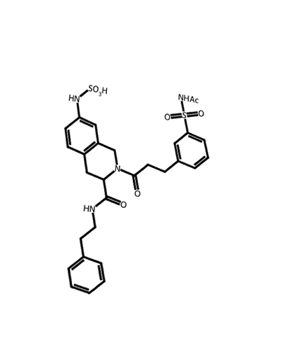 CC(=O)NS(=O)(=O)c1cccc(CCC(=O)N2Cc3cc(NS(=O)(=O)O)ccc3CC2C(=O)NCCc2ccccc2)c1